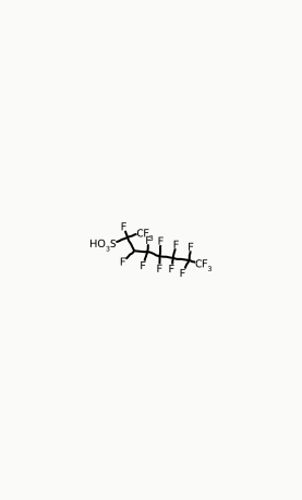 O=S(=O)(O)C(F)(C(F)C(F)(F)C(F)(F)C(F)(F)C(F)(F)C(F)(F)F)C(F)(F)F